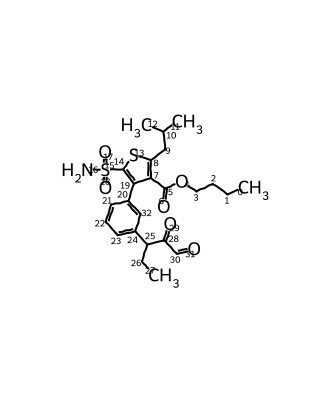 CCCCOC(=O)c1c(CC(C)C)sc(S(N)(=O)=O)c1-c1cccc(C(CC)C(=O)C=O)c1